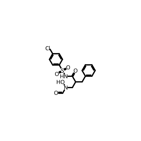 O=CN(O)CC(Cc1ccccc1)C(=O)NS(=O)(=O)c1ccc(Cl)cc1